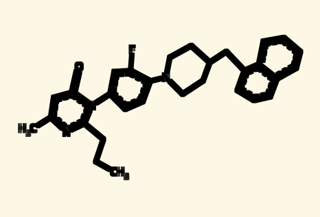 CCCc1nc(C)cc(=O)n1-c1ccc(N2CCC(Cc3cccc4ccccc34)CC2)c(F)c1